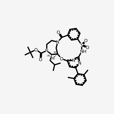 Cc1cccc(C)c1-c1cc2nc(n1)NS(=O)(=O)c1cccc(c1)C(=O)N1CCN(C(=O)OC(C)(C)C)[C@H](CC(C)C)[C@@H](C1)O2